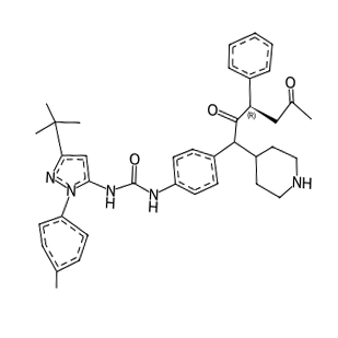 CC(=O)C[C@@H](C(=O)C(c1ccc(NC(=O)Nc2cc(C(C)(C)C)nn2-c2ccc(C)cc2)cc1)C1CCNCC1)c1ccccc1